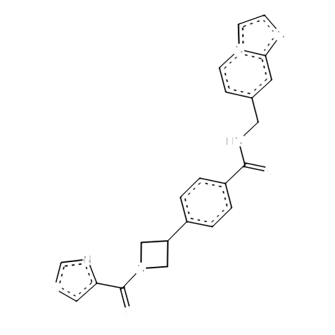 O=C(NCc1ccn2ccnc2c1)c1ccc(C2CN(C(=O)c3cscn3)C2)cc1